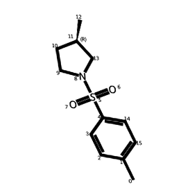 Cc1ccc(S(=O)(=O)N2CC[C@@H](C)C2)cc1